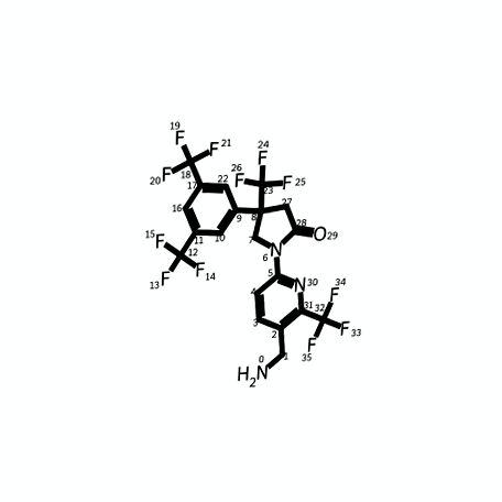 NCc1ccc(N2CC(c3cc(C(F)(F)F)cc(C(F)(F)F)c3)(C(F)(F)F)CC2=O)nc1C(F)(F)F